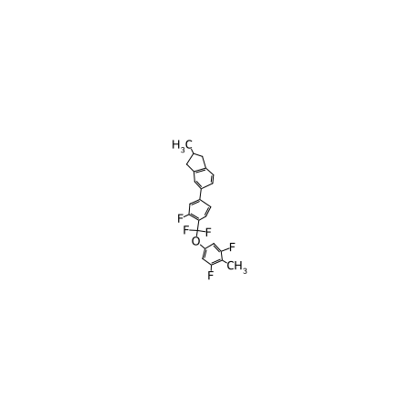 Cc1c(F)cc(OC(F)(F)c2ccc(-c3ccc4c(c3)CC(C)C4)cc2F)cc1F